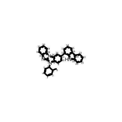 CC1C=CC=CC1n1c2ccc(-c3cccc4c3[nH]c3ccccc34)cc2n2c3ccccc3nc12